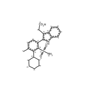 Cc1ccc(-c2[nH]c3ccccc3c2CC(=O)O)c(S(N)(=O)=O)c1C1CCCCC1